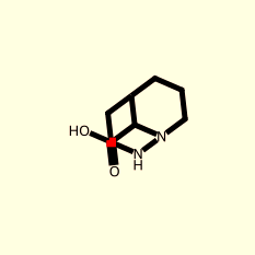 O=C(O)C1C2CCCN1NCC2